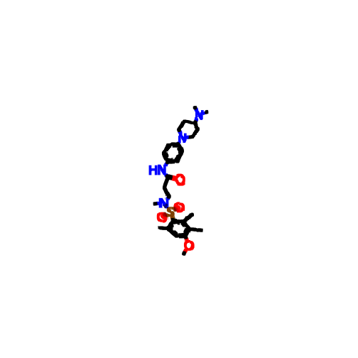 COc1cc(C)c(S(=O)(=O)N(C)CCC(=O)Nc2ccc(N3CCC(N(C)C)CC3)cc2)c(C)c1C